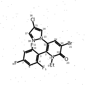 CCn1c(-c2c(F)cc(F)cc2F)c(-n2cc(Cl)cn2)cc(Br)c1=O